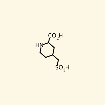 O=C(O)C1CC(CS(=O)(=O)O)CCN1